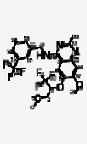 COCC(Oc1cc2c(NCc3cccc(C(F)(F)F)c3)nc(C)nc2cc1OC)C(F)(F)F